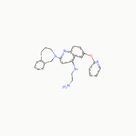 NCCNc1cc(N2CCCc3ccccc3C2)nc2ccc(Oc3ccccn3)cc12